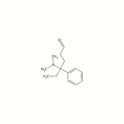 CCC(CCC=O)(c1ccccc1)N(C)C